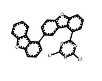 Clc1nc(Cl)nc(-c2cccc3oc4ccc(-c5cccc6oc7ccccc7c56)cc4c23)n1